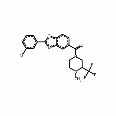 CN1CCN(C(=O)c2ccc3oc(-c4cccc(Cl)c4)nc3c2)CC1C(F)(F)F